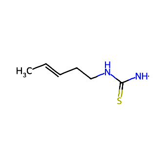 CC=CCCNC([NH])=S